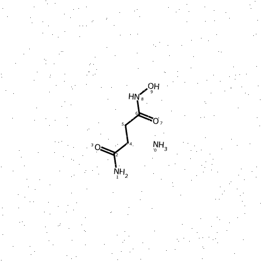 N.NC(=O)CCC(=O)NO